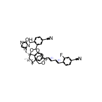 C[C@@H](S[C@H]1CO[C@H](/C=C/C=C/c2ccc(C#N)cc2F)OC1)[C@@](Cn1cncn1)(OC(=O)c1cc(C#N)ccc1CO)c1ccc(F)cc1F